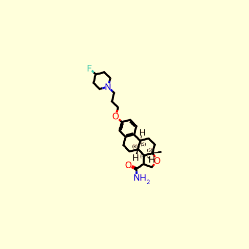 C[C@]12CC[C@@H]3c4ccc(OCCCN5CCC(F)CC5)cc4CC[C@H]3[C@@H]1C(C(N)=O)CO2